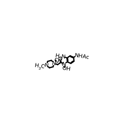 CC(=O)Nc1ccc(N(O)C(=O)C[N+]2(C)CCN(C)CC2)c(N)c1